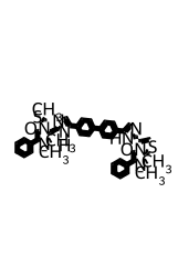 CSCN(Cc1ncc(-c2ccc(-c3ccc(-c4cnc([C@@H]5CSCN5C(=O)[C@@H](c5ccccc5)N(C)C)[nH]4)cc3)cc2)[nH]1)C(=O)[C@@H](c1ccccc1)N(C)C